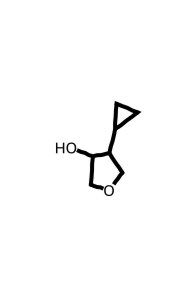 OC1COCC1C1CC1